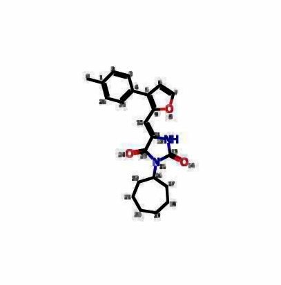 Cc1ccc(-c2ccoc2/C=C2\NC(=O)N(C3CCCCCC3)C2=O)cc1